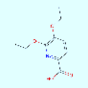 CCOc1ccc(C(=O)O)nc1OCC